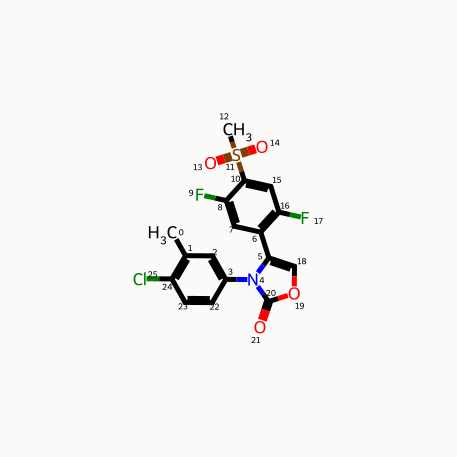 Cc1cc(-n2c(-c3cc(F)c(S(C)(=O)=O)cc3F)coc2=O)ccc1Cl